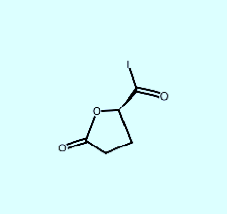 O=C1CC[C@H](C(=O)I)O1